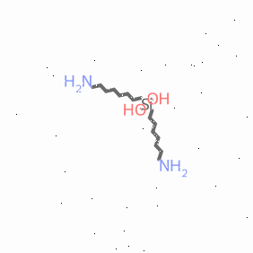 NCCCCCCCC[Si](O)(O)CCCCCCCCN